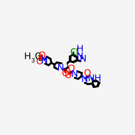 CS(=O)(=O)N1CCC(C2CCN(C(=O)[C@@H](Cc3cc(Cl)c4[nH]ncc4c3)OC(=O)N3CCC(N4CCc5ccccc5NC4=O)CC3)CC2)CC1